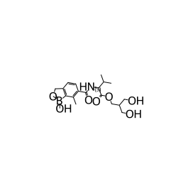 Cc1c(C(=O)N[C@H](C(=O)OCC(CO)CO)C(C)C)ccc2c1B(O)OC2